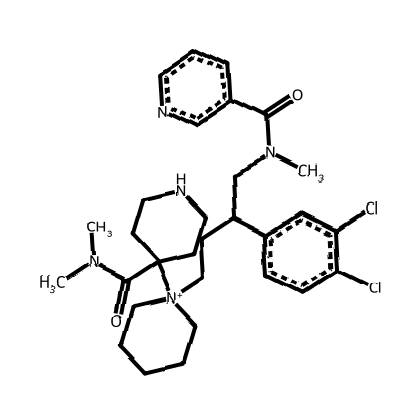 CN(C)C(=O)C1([N+]2(CCC(CN(C)C(=O)c3cccnc3)c3ccc(Cl)c(Cl)c3)CCCCC2)CCNCC1